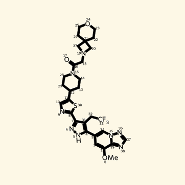 COc1cc(-c2[nH]nc(-c3ncc(C4CCN(C(=O)CN5CC6(CCOCC6)C5)CC4)s3)c2CC(F)(F)F)cn2ncnc12